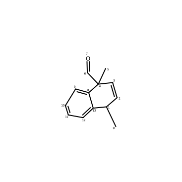 CC1C=CC(C)(C=O)c2ccccc21